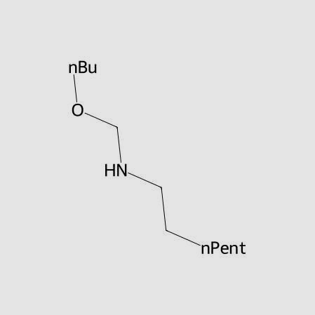 CCCCCCCNCOCCCC